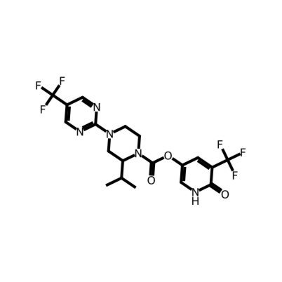 CC(C)C1CN(c2ncc(C(F)(F)F)cn2)CCN1C(=O)Oc1c[nH]c(=O)c(C(F)(F)F)c1